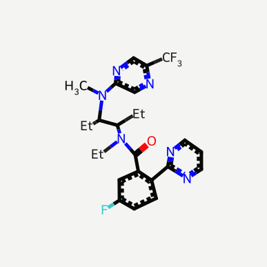 CCC(C(CC)N(C)c1cnc(C(F)(F)F)cn1)N(CC)C(=O)c1cc(F)ccc1-c1ncccn1